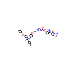 Cc1c(-c2ccc(F)cc2)n(Cc2ccc(OCCCCN3CCN(C(=O)COc4cccc5c(C6CCC(=O)NC6=O)nn(C)c45)CC3)cc2)c2ccc(OCc3ccccc3)cc12